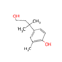 Cc1cc(C(C)(C)CCO)ccc1O